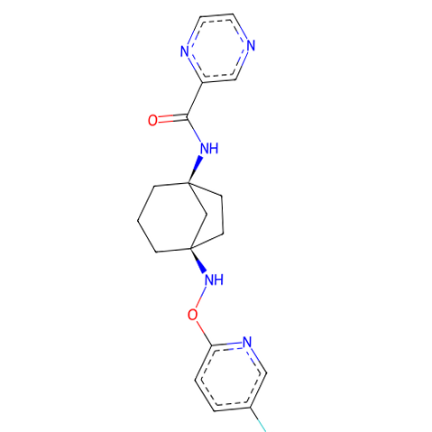 O=C(N[C@@]12CCC[C@@](NOc3ccc(F)cn3)(CC1)C2)c1cnccn1